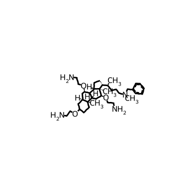 C[C@@H](CCCN(C)Cc1ccccc1)[C@H]1CC[C@H]2[C@@H]3[C@H](OCCN)C[C@@H]4CC(OCCN)CC[C@]4(C)[C@H]3C[C@H](OCCN)[C@]12C